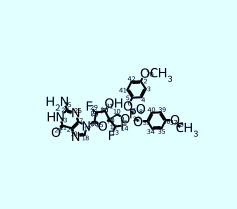 COc1ccc(OP(=O)(OC[C@@]2(C(F)F)O[C@@H](n3cnc4c(=O)[nH]c(N)nc43)[C@@H](F)[C@@H]2O)Oc2ccc(OC)cc2)cc1